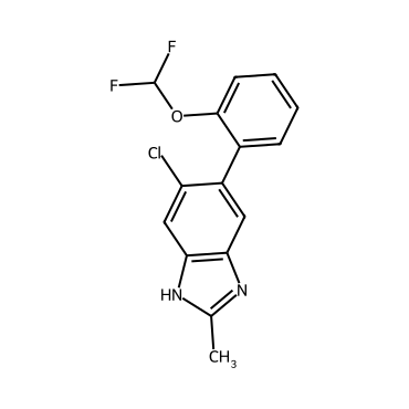 Cc1nc2cc(-c3ccccc3OC(F)F)c(Cl)cc2[nH]1